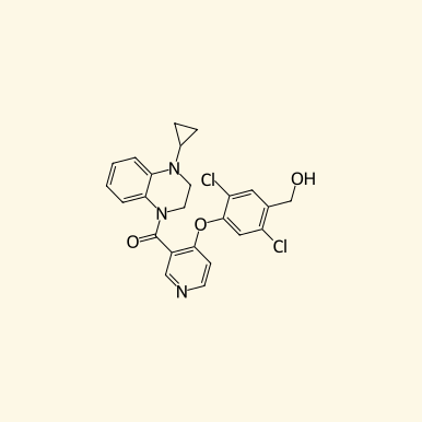 O=C(c1cnccc1Oc1cc(Cl)c(CO)cc1Cl)N1CCN(C2CC2)c2ccccc21